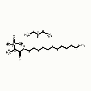 CCCCCCCCCCCCOC(=O)C(C)P(=O)(O)O.CCNCC